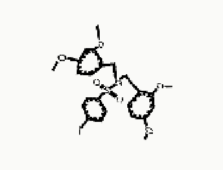 COc1ccc(CN(Cc2ccc(OC)cc2OC)S(=O)(=O)c2ccc(I)cc2)c(OC)c1